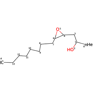 CCCCCCC(O)CC1OC1CCCCCCCC=O